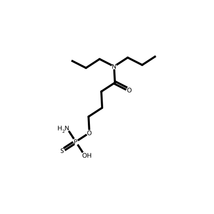 CCCN(CCC)C(=O)CCCOP(N)(O)=S